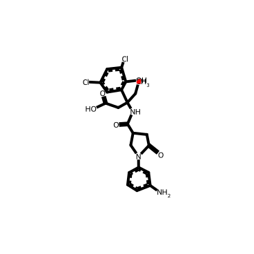 CCC(CC(=O)O)(NC(=O)C1CC(=O)N(c2cccc(N)c2)C1)c1cc(Cl)cc(Cl)c1O